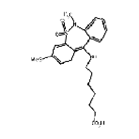 CSC1=CCC2=C(NCCCCCCC(=O)O)c3ccccc3N(C)S(=O)(=O)C2=C1